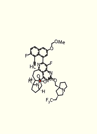 C#Cc1c(F)ccc2cc(OCOC)cc(-c3nc4c5c(nc(OC[C@@]67CCCN6C[C@@H](CC(F)(F)F)C7)nc5c3F)N3C[C@H]5CC[C@@H]([C@H]3CC4)N5C(=O)OC(C)(C)C)c12